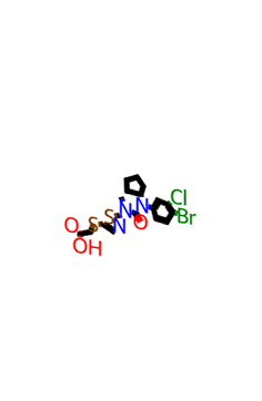 CN(C(=O)N(c1ccc(Br)c(Cl)c1)C1CCCC1)c1ncc(SCC(=O)O)s1